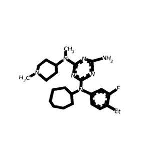 CCc1ccc(N(c2nc(N)nc(N(C)C3CCN(C)CC3)n2)C2CCCCCC2)cc1F